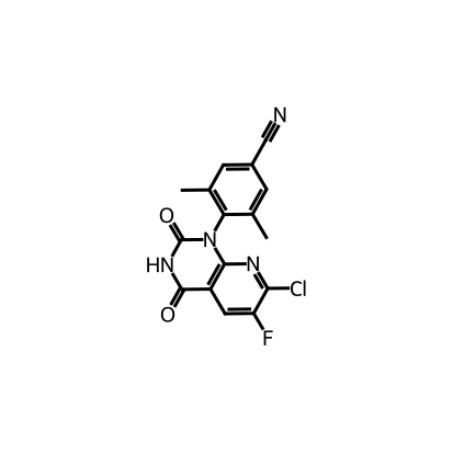 Cc1cc(C#N)cc(C)c1-n1c(=O)[nH]c(=O)c2cc(F)c(Cl)nc21